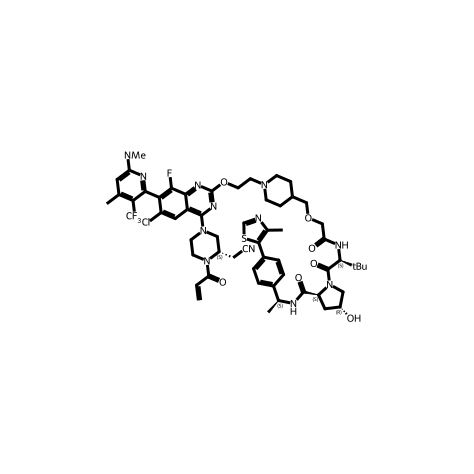 C=CC(=O)N1CCN(c2nc(OCCN3CCC(COCC(=O)N[C@H](C(=O)N4C[C@H](O)C[C@H]4C(=O)N[C@@H](C)c4ccc(-c5scnc5C)cc4)C(C)(C)C)CC3)nc3c(F)c(-c4nc(NC)cc(C)c4C(F)(F)F)c(Cl)cc23)C[C@@H]1CC#N